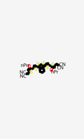 CCCOc1cc(C=C(C#N)C#N)sc1-c1cc2sc3c(c2s1)C1(CCCCC1)c1c-3sc2cc(-c3sc(C=C(C#N)C#N)cc3OCCC)sc12